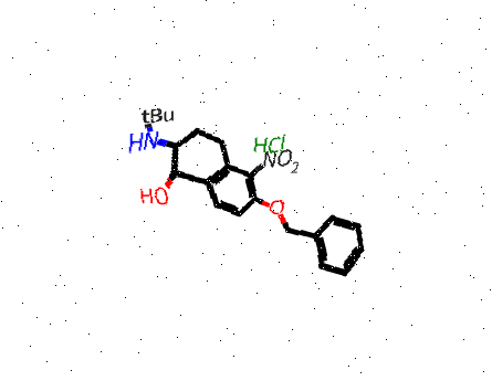 CC(C)(C)NC1CCc2c(ccc(OCc3ccccc3)c2[N+](=O)[O-])C1O.Cl